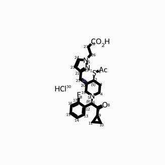 CC(=O)S[C@H]1CCN([C@@H](C(=O)C2CC2)c2ccccc2F)C/C1=C/c1ccn(CCC(=O)O)n1.Cl